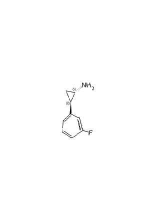 N[C@H]1C[C@@H]1c1cccc(F)c1